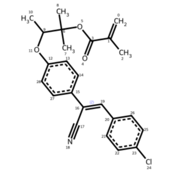 C=C(C)C(=O)OC(C)(C)C(C)Oc1ccc(/C(C#N)=C/c2ccc(Cl)cc2)cc1